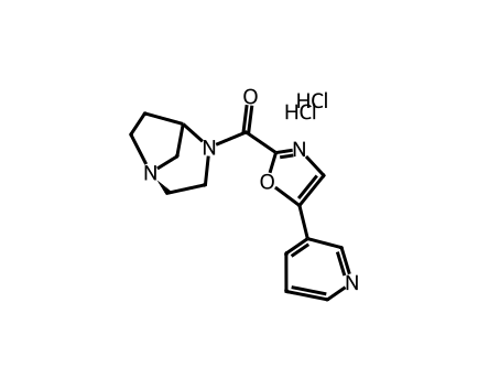 Cl.Cl.O=C(c1ncc(-c2cccnc2)o1)N1CC[N@@]2CCC1C2